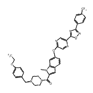 Cn1c(C(=O)N2CCN(Cc3ccc(OCC(F)(F)F)cc3)CC2)cc2ccc(Oc3cnc(-c4nc(-c5ccc(C(F)(F)F)cc5)no4)cn3)cc21